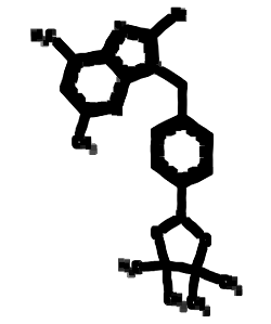 CCc1nc2c(C)cc(C)nc2n1Cc1ccc(B2OC(C)(C)C(C)(C)O2)cc1